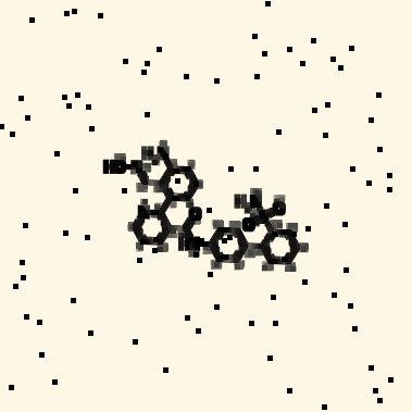 Nc1cccc(-c2ncccc2C(=O)Nc2ccc(-c3ccccc3S(N)(=O)=O)cc2)c1C=NO